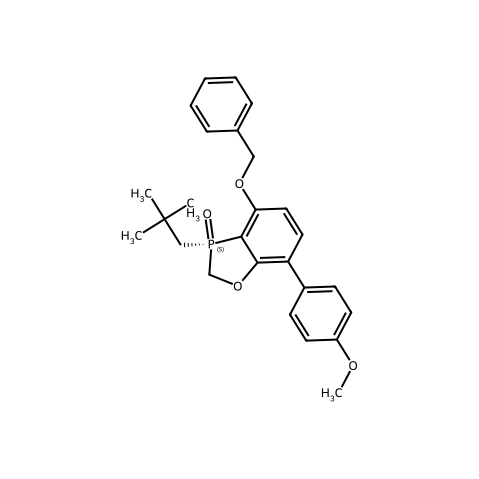 COc1ccc(-c2ccc(OCc3ccccc3)c3c2OC[P@]3(=O)CC(C)(C)C)cc1